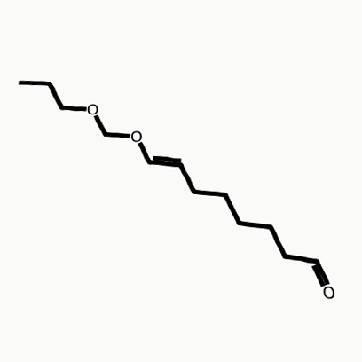 CCCOCOC=CCCCCCC=O